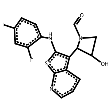 O=CN1CC(O)C1c1c(Nc2ccc(I)cc2F)sc2ncccc12